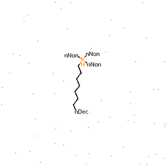 CCCCCCCCCCCCCCCCC[PH](CCCCCCCCC)(CCCCCCCCC)CCCCCCCCC